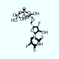 O=P(O)(O)OP(=O)(O)OP(=O)(O)OC[C@H]1O[C@@H](n2cc(F)c(=S)[nH]c2=S)C(O)[C@H]1F